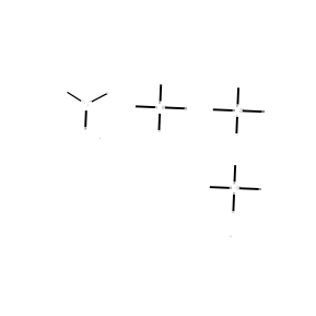 CN(C)C.F[B-](F)(F)F.F[B-](F)(F)F.F[B-](F)(F)F.[KH]